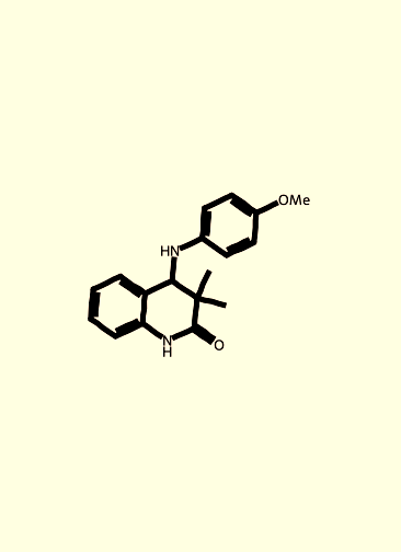 COc1ccc(NC2c3ccccc3NC(=O)C2(C)C)cc1